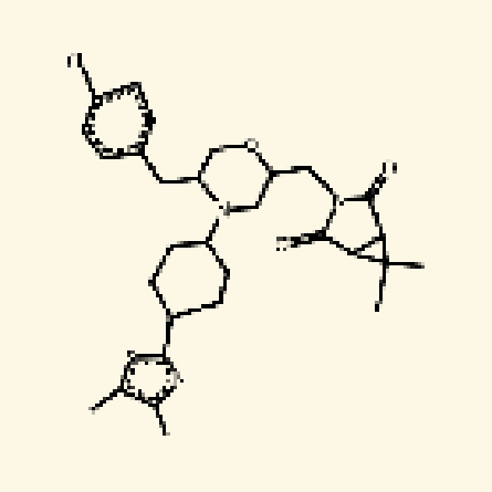 Cc1nc(C2CCC(N3CC(CN4C(=O)C5C(C4=O)C5(C)C)OCC3Cc3ccc(Cl)cc3)CC2)sc1C